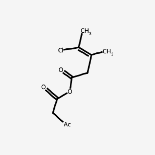 CC(=O)CC(=O)OC(=O)CC(C)=C(C)Cl